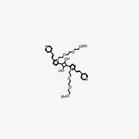 COCCOCCOCCn1c(/C=C/c2ccncc2)ccc1C1C(O)C(c2ccc(/C=C/c3ccncc3)n2CCOCCOCCOC)C1O